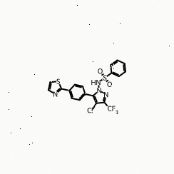 O=S(=O)(Nn1nc(C(F)(F)F)c(Cl)c1-c1ccc(-c2nccs2)cc1)c1ccccc1